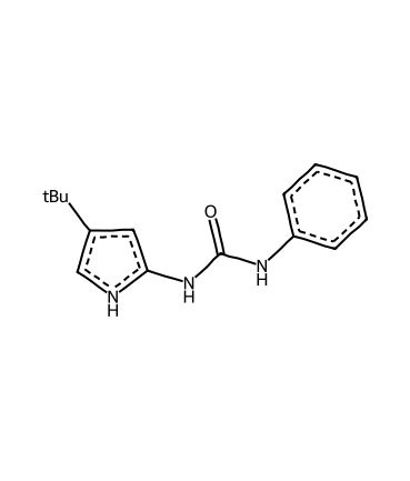 CC(C)(C)c1c[nH]c(NC(=O)Nc2ccccc2)c1